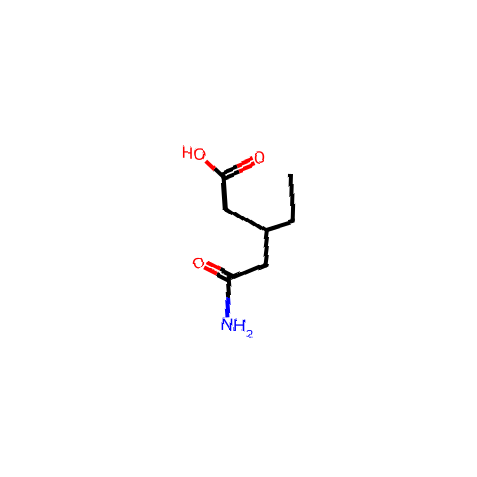 CCC(CC(N)=O)CC(=O)O